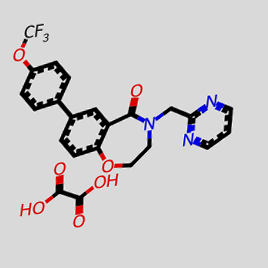 O=C(O)C(=O)O.O=C1c2cc(-c3ccc(OC(F)(F)F)cc3)ccc2OCCN1Cc1ncccn1